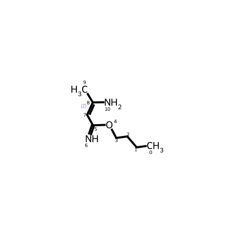 CCCCOC(=N)/C=C(/C)N